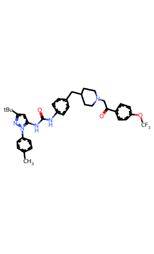 Cc1ccc(-n2nc(C(C)(C)C)cc2NC(=O)Nc2ccc(CC3CCN(CC(=O)c4ccc(OC(F)(F)F)cc4)CC3)cc2)cc1